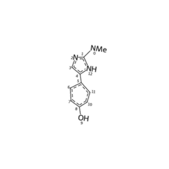 CNc1ncc(-c2ccc(O)cc2)[nH]1